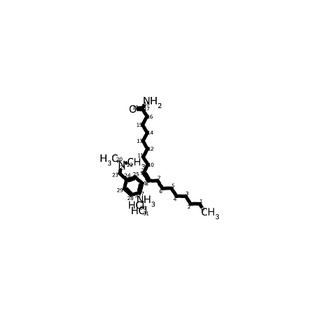 CCCCCCCC/C=C\CCCCCCCC(N)=O.CN(C)Cc1ccccc1.Cl.Cl.N